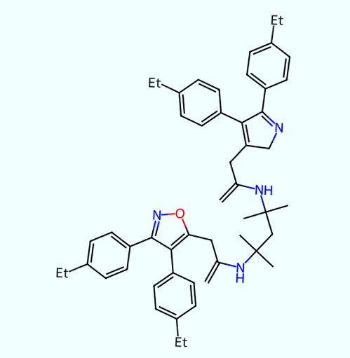 C=C(CC1=C(c2ccc(CC)cc2)C(c2ccc(CC)cc2)=NC1)NC(C)(C)CC(C)(C)NC(=C)Cc1onc(-c2ccc(CC)cc2)c1-c1ccc(CC)cc1